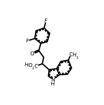 Cc1ccc2[nH]cc(C(CC(=O)c3ccc(F)cc3F)C(=O)O)c2c1